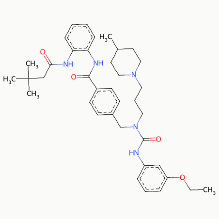 CCOc1cccc(NC(=O)N(CCCN2CCC(C)CC2)Cc2ccc(C(=O)Nc3ccccc3NC(=O)CC(C)(C)C)cc2)c1